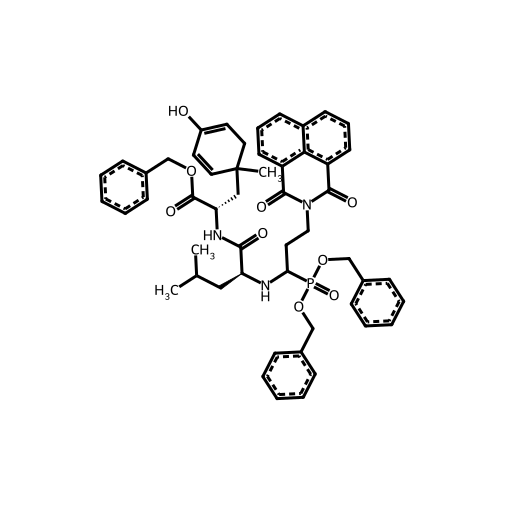 CC(C)C[C@H](NC(CCN1C(=O)c2cccc3cccc(c23)C1=O)P(=O)(OCc1ccccc1)OCc1ccccc1)C(=O)N[C@@H](CC1(C)C=CC(O)=CC1)C(=O)OCc1ccccc1